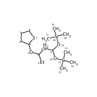 CCC(OC1CCCS1)[SiH2]C(O[Si](C)(C)C)O[Si](C)(C)C